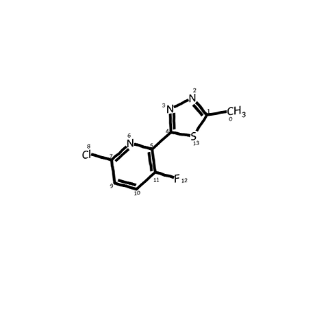 Cc1nnc(-c2nc(Cl)ccc2F)s1